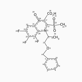 CC(COCc1ccccc1)n1c(S(C)(=O)=O)c(C(=O)O)c(=O)c2cc(F)c(F)c(F)c21